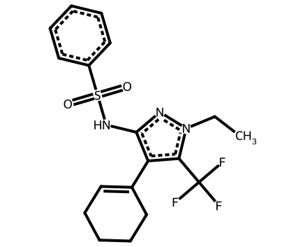 CCn1nc(NS(=O)(=O)c2ccccc2)c(C2=CCCCC2)c1C(F)(F)F